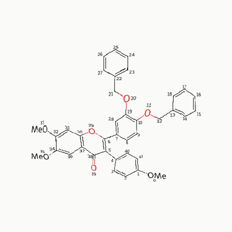 COc1ccc(-c2c(-c3ccc(OCc4ccccc4)c(OCc4ccccc4)c3)oc3cc(OC)c(OC)cc3c2=O)cc1